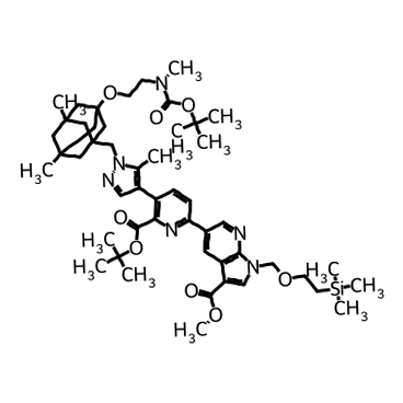 COC(=O)c1cn(COCC[Si](C)(C)C)c2ncc(-c3ccc(-c4cnn(CC56CC7(C)CC(C)(C5)CC(OCCN(C)C(=O)OC(C)(C)C)(C7)C6)c4C)c(C(=O)OC(C)(C)C)n3)cc12